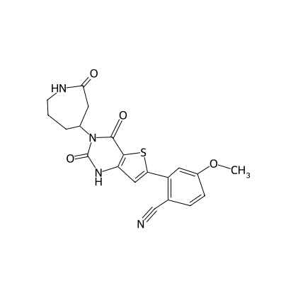 COc1ccc(C#N)c(-c2cc3[nH]c(=O)n(C4CCCNC(=O)C4)c(=O)c3s2)c1